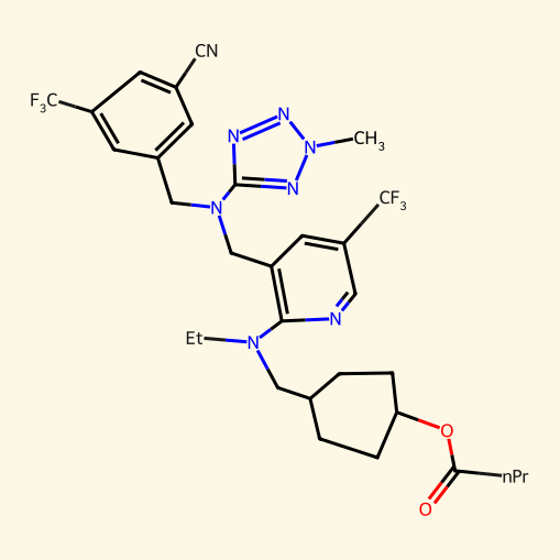 CCCC(=O)OC1CCC(CN(CC)c2ncc(C(F)(F)F)cc2CN(Cc2cc(C#N)cc(C(F)(F)F)c2)c2nnn(C)n2)CC1